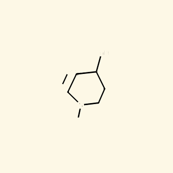 CCCC1CCN(CCC)CC1.CS(=O)(=O)O